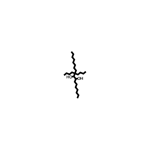 CCCCCCCCC(CCCC)(CCCC)C(O)C(O)CCCCCCC